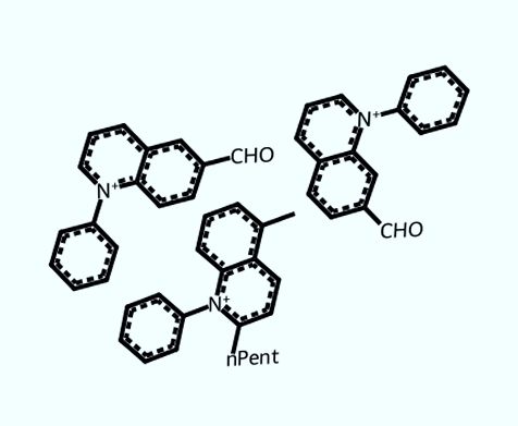 CCCCCc1ccc2c(C)cccc2[n+]1-c1ccccc1.O=Cc1ccc2c(ccc[n+]2-c2ccccc2)c1.O=Cc1ccc2ccc[n+](-c3ccccc3)c2c1